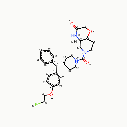 O=C1COC2CCN(C(=O)N3CCC([C@@H](c4ccccc4)c4ccc(OCCF)cc4)CC3)C[C@H]2N1